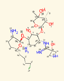 C[C@@H]1C(O)[C@@H](OC2C(O)C(O[C@H]3O[C@H](CCCCF)CCC3N)[C@@H](N)C[C@H]2NC(=N)C2(O)CNC2)OCC1(C)O